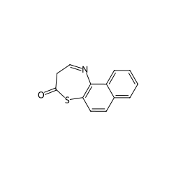 O=C1CC=Nc2c(ccc3ccccc23)S1